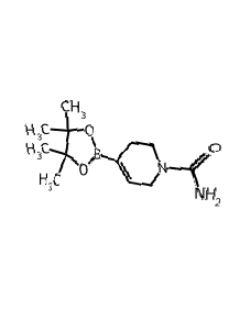 CC1(C)OB(C2=CCN(C(N)=O)CC2)OC1(C)C